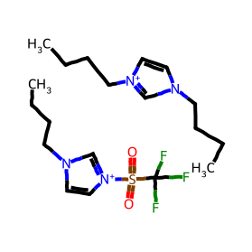 CCCCn1cc[n+](CCCC)c1.CCCCn1cc[n+](S(=O)(=O)C(F)(F)F)c1